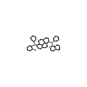 Fc1ccccc1N(c1ccccc1)c1ccc2ccc3c(N(c4ccccc4)c4nccc5ccccc45)ccc4ccc1c2c43